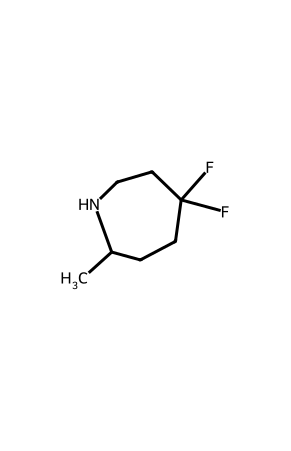 CC1CCC(F)(F)CCN1